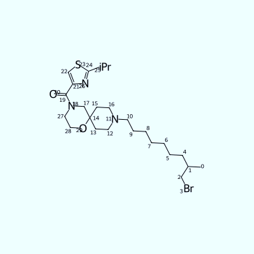 CC(CBr)CCCCCCCN1CCC2(CC1)CN(C(=O)c1csc(C(C)C)n1)CCO2